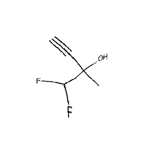 C#CC(C)(O)C(F)F